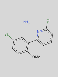 COc1ccc(Cl)cc1-c1cccc(Cl)n1.N